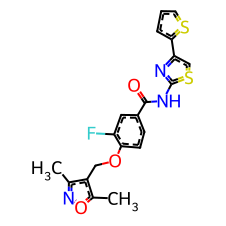 Cc1noc(C)c1COc1ccc(C(=O)Nc2nc(-c3cccs3)cs2)cc1F